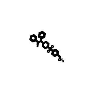 CCc1ccc(S(=O)(=O)N2CCC(N(C(=S)c3ccccc3)c3ccccn3)CC2)cc1